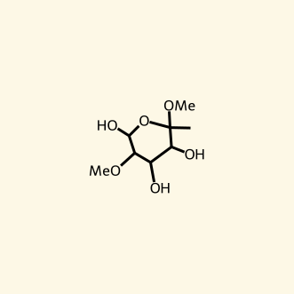 COC1C(O)OC(C)(OC)C(O)C1O